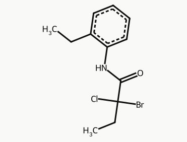 CCc1ccccc1NC(=O)C(Cl)(Br)CC